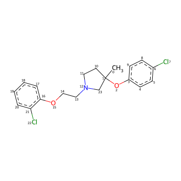 CC1(Oc2ccc(Cl)cc2)CCN(CCOc2ccccc2Cl)C1